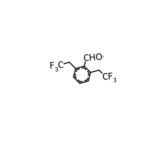 O=[C]c1c(CC(F)(F)F)cccc1CC(F)(F)F